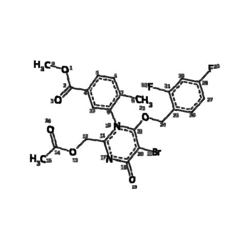 COC(=O)c1ccc(C)c(-n2c(COC(C)=O)nc(=O)c(Br)c2OCc2ccc(F)cc2F)c1